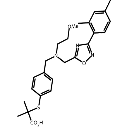 COCCN(Cc1ccc(SC(C)(C)C(=O)O)cc1)Cc1nc(-c2ccc(C)cc2C)no1